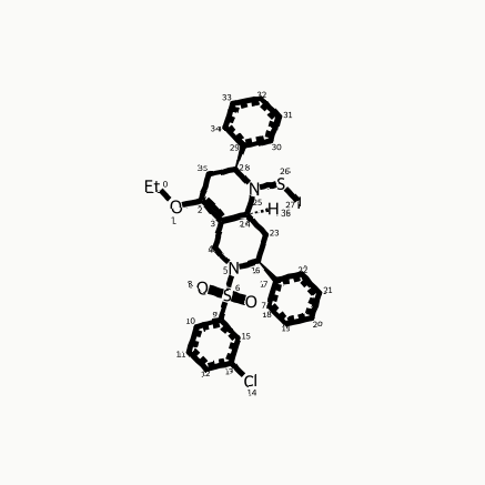 CCOC1=C2CN(S(=O)(=O)c3cccc(Cl)c3)[C@H](c3ccccc3)C[C@@H]2N(SI)[C@H](c2ccccc2)C1